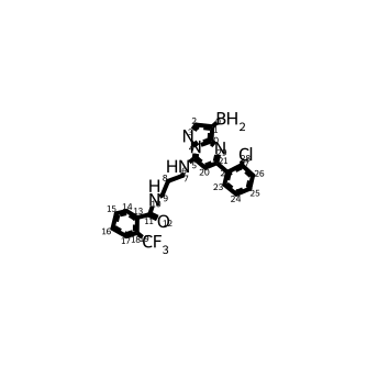 Bc1cnn2c(NCCCNC(=O)c3ccccc3C(F)(F)F)cc(-c3ccccc3Cl)nc12